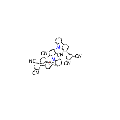 N#Cc1cc(C#N)cc(-c2ccc3c4ccccc4n(-c4ccc(-c5c(C#N)cccc5C(F)(F)F)c(-n5c6ccccc6c6ccc(-c7cc(C#N)cc(C#N)c7)cc65)c4C#N)c3c2)c1